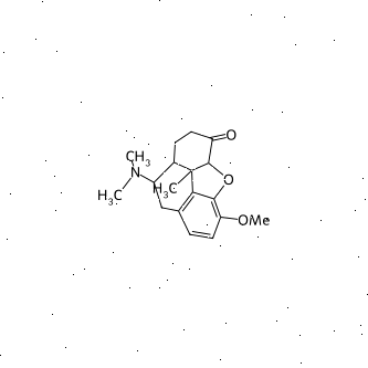 COc1ccc2c3c1OC1C(=O)CCC(C(N(C)C)C2)C31C